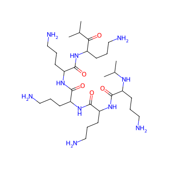 CC(C)NC(CCCN)C(=O)NC(CCCN)C(=O)NC(CCCN)C(=O)NC(CCCN)C(=O)NC(CCCN)C(=O)C(C)C